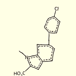 Cn1c(C(=O)O)cc2ccc(-c3ccc(Cl)cc3)cc21